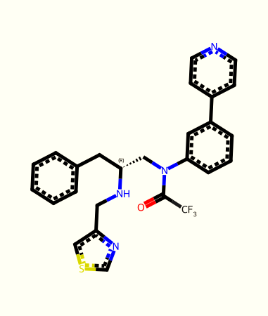 O=C(N(C[C@@H](Cc1ccccc1)NCc1cscn1)c1cccc(-c2ccncc2)c1)C(F)(F)F